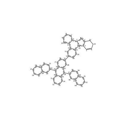 C1=Cc2c(nc3c4cccnc4c4cc(-c5ccc6c(-c7ccc8ccccc8c7)c7ccccc7c(-c7ccc8ccccc8c7)c6c5)ccc4n23)CC1